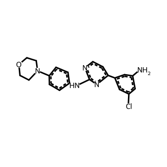 Nc1cc(Cl)cc(-c2ccnc(Nc3ccc(N4CCOCC4)cc3)n2)c1